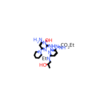 CCOC(=O)NNc1ccc(N(CC)CC(C)O)nn1.N=c1nc(N2CCCCC2)cc(N)n1O